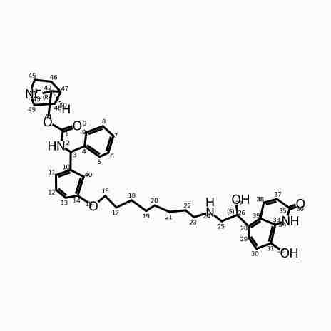 O=C(NC(c1ccccc1)c1cccc(OCCCCCCCCNC[C@@H](O)c2ccc(O)c3[nH]c(=O)ccc23)c1)O[C@H]1CN2CCC1CC2